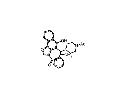 CC(=O)N1CCN(C(c2ccncc2)c2c(O)c3ccccc3c3occ(C(=O)OCN)c23)CC1